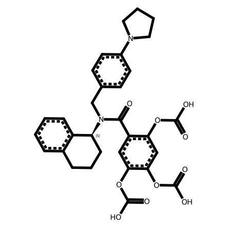 O=C(O)Oc1cc(OC(=O)O)c(C(=O)N(Cc2ccc(N3CCCC3)cc2)[C@H]2CCCc3ccccc32)cc1OC(=O)O